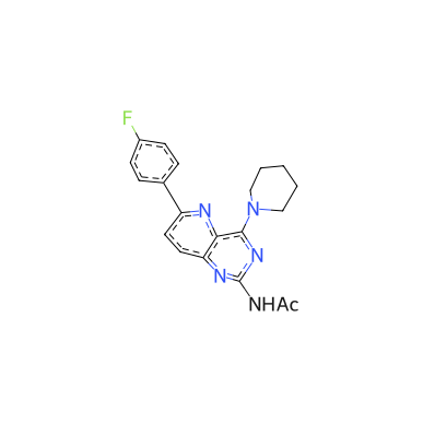 CC(=O)Nc1nc(N2CCCCC2)c2nc(-c3ccc(F)cc3)ccc2n1